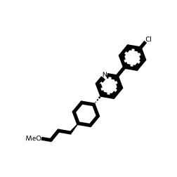 COCCC[C@H]1CC[C@H](c2ccc(-c3ccc(Cl)cc3)nc2)CC1